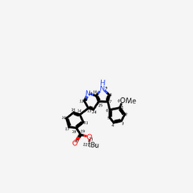 COc1ccccc1-c1c[nH]c2ncc(-c3cccc(C(=O)OC(C)(C)C)c3)cc12